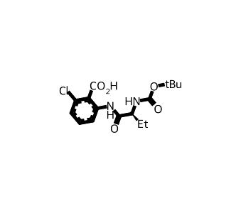 CC[C@H](NC(=O)OC(C)(C)C)C(=O)Nc1cccc(Cl)c1C(=O)O